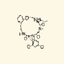 CCC[C@@H]1NCCOc2ccccc2CCCNC(=O)[C@@H](Cc2ccc(Cl)cc2Cl)NC(=O)[C@@H](C)N(C)C1=O